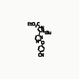 CCOC(=O)c1cc(-c2ccnc(Oc3ccc(C#N)cc3)n2)n(C(C)(C)C)n1